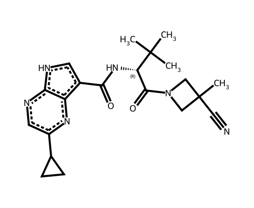 CC1(C#N)CN(C(=O)[C@H](NC(=O)c2c[nH]c3ncc(C4CC4)nc23)C(C)(C)C)C1